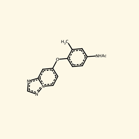 CC(=O)Nc1ccc(Oc2ccn3ncnc3c2)c(C)c1